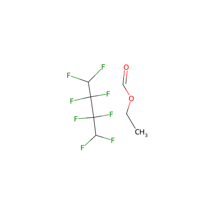 CCOC=O.FC(F)C(F)(F)C(F)(F)C(F)F